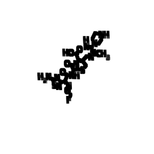 CN(N=CC1=C(C(=O)O)N2C(=O)C(NC(=O)C(=NOCF)c3nsc(N)n3)C2SC1)C(=N)N1CCNCC1